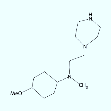 COC1CCC(N(C)CCN2CCNCC2)CC1